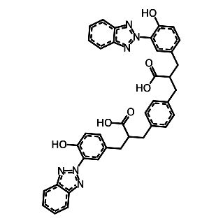 O=C(O)C(Cc1ccc(CC(Cc2ccc(O)c(-n3nc4ccccc4n3)c2)C(=O)O)cc1)Cc1ccc(O)c(-n2nc3ccccc3n2)c1